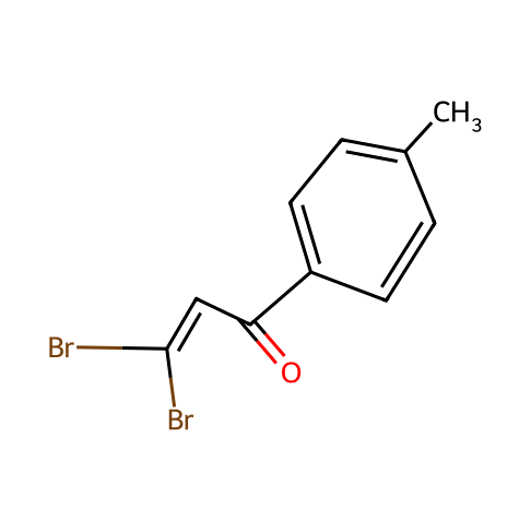 Cc1ccc(C(=O)C=C(Br)Br)cc1